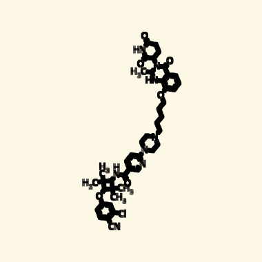 CC1Nc2c(OCCCCCN3CCN(c4ccc(C(=O)NC5C(C)(C)C(Oc6ccc(C#N)c(Cl)c6)C5(C)C)cn4)CC3)cccc2C(=O)N1C1CCC(=O)NC1=O